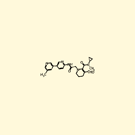 Cc1cncc(-c2ccc(NC(=O)CN3CCCC(C=O)=C3C(=O)N(C)C3CC3)nc2)c1